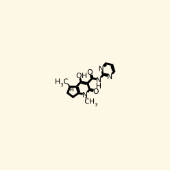 C[C@@H]1CCc2c1c(O)c(C(=O)Nc1ncccn1)c(=O)n2C